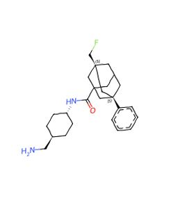 NC[C@H]1CC[C@H](NC(=O)C23CC4C[C@@](CF)(C2)C[C@](c2ccccc2)(C4)C3)CC1